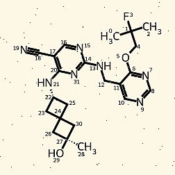 CC(C)(F)COc1ncncc1CNc1ncc(C#N)c(N[C@H]2CC3(C2)C[C@](C)(O)C3)n1